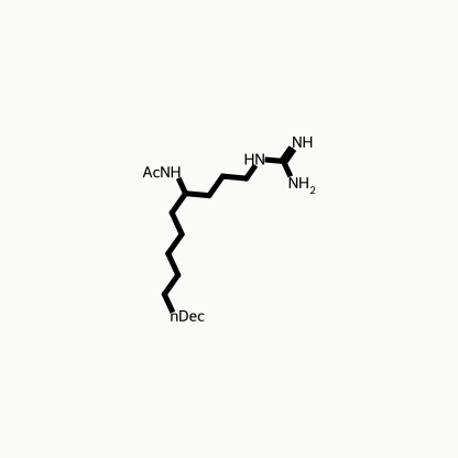 CCCCCCCCCCCCCCCC(CCCNC(=N)N)NC(C)=O